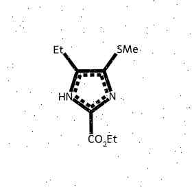 CCOC(=O)c1nc(SC)c(CC)[nH]1